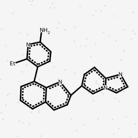 CCc1nc(N)ccc1-c1cccc2ccc(-c3ccc4nccn4c3)nc12